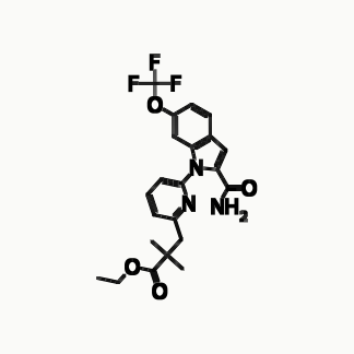 CCOC(=O)C(C)(C)Cc1cccc(-n2c(C(N)=O)cc3ccc(OC(F)(F)F)cc32)n1